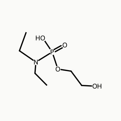 CCN(CC)P(=O)(O)OCCO